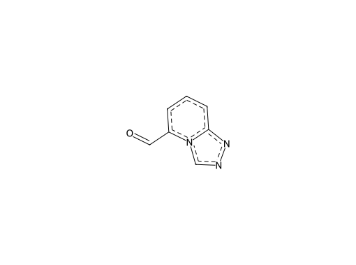 O=Cc1cccc2nncn12